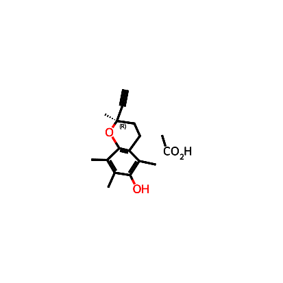 C#C[C@@]1(C)CCc2c(C)c(O)c(C)c(C)c2O1.CC(=O)O